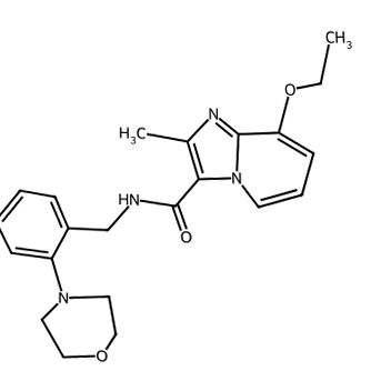 CCOc1cccn2c(C(=O)NCc3ccccc3N3CCOCC3)c(C)nc12